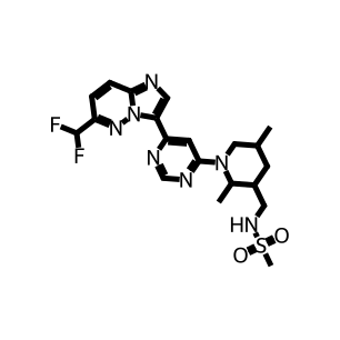 CC1CC(CNS(C)(=O)=O)C(C)N(c2cc(-c3cnc4ccc(C(F)F)nn34)ncn2)C1